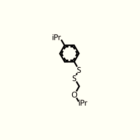 CC(C)OCSSc1ccc(C(C)C)cc1